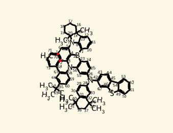 Cc1cc2c3c(c1)N1c4c(cccc4C4(C)CCCCC14C)B3c1ccc(N(c3ccc4c(c3)C(C)(C)CCC4(C)C)c3ccc4c(c3)sc3ccccc34)cc1N2c1ccc(C(C)(C)C)cc1-c1ccccc1